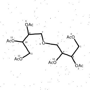 CC(=O)OCC(OC(C)=O)C(COCC(OC(C)=O)C(COC(C)=O)OC(C)=O)OC(C)=O